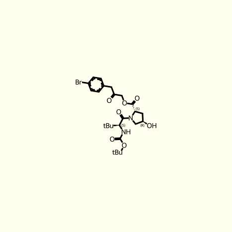 CC(C)(C)OC(=O)N[C@H](C(=O)N1C[C@H](O)C[C@H]1C(=O)OCC(=O)Cc1ccc(Br)cc1)C(C)(C)C